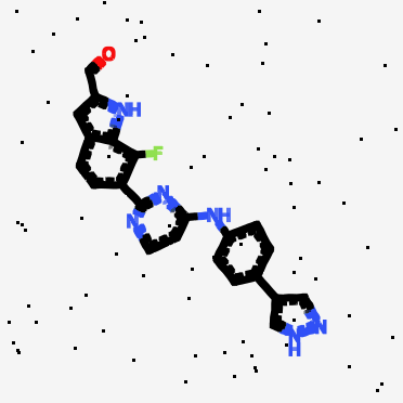 O=Cc1cc2ccc(-c3nccc(Nc4ccc(-c5cn[nH]c5)cc4)n3)c(F)c2[nH]1